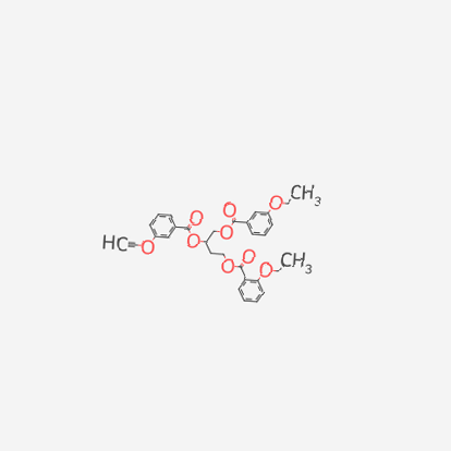 C#COc1cccc(C(=O)OC(CCOC(=O)c2ccccc2OCC)COC(=O)c2cccc(OCC)c2)c1